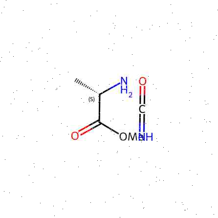 COC(=O)[C@H](C)N.N=C=O